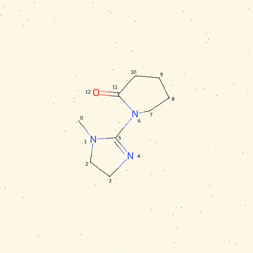 CN1CCN=C1N1CCCCC1=O